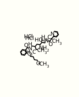 COCCCCOc1ccccc1C(=O)NCC(CC(N)C(O)CNC(=O)C(C)(C)c1ccccn1)C(C)C.Cl.Cl